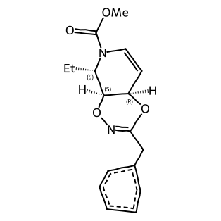 CC[C@H]1[C@@H]2ON=C(Cc3ccccc3)O[C@@H]2C=CN1C(=O)OC